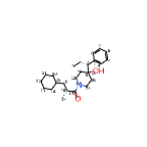 CC[C@H](c1cc[c]cc1)C1(O)CCN(C(=O)[C@H](C)CC2CCCCC2)CC1